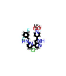 CC(C)(C)OC(=O)N1CCC(c2cc3c(-c4nc(NCc5cc(F)ccc5F)ccc4Cl)ccnc3[nH]2)CC1